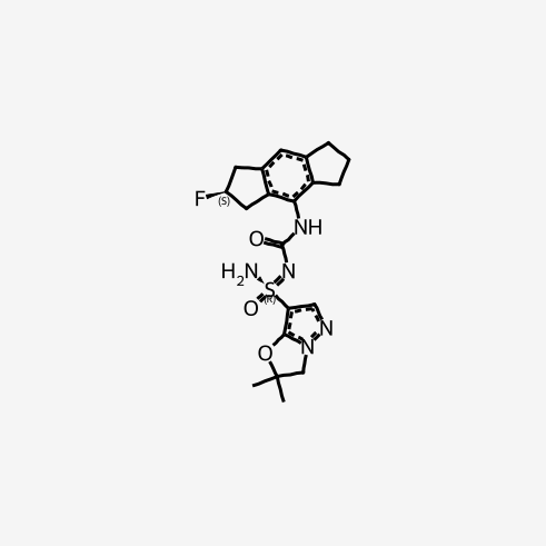 CC1(C)Cn2ncc([S@](N)(=O)=NC(=O)Nc3c4c(cc5c3C[C@@H](F)C5)CCC4)c2O1